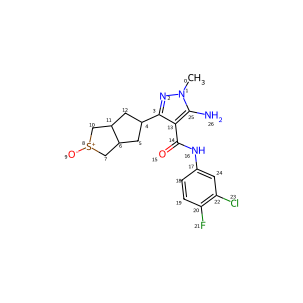 Cn1nc(C2CC3C[S+]([O-])CC3C2)c(C(=O)Nc2ccc(F)c(Cl)c2)c1N